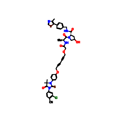 Cc1ncsc1-c1ccc(CNC(=O)[C@@H]2C[C@@H](O)CN2C(=O)[C@@H](NC(=O)COCC#CC#CCOc2ccc(N3C(=S)N(c4ccc(C#N)c(Cl)c4)C(=O)C3(C)C)cc2)C(C)(C)C)cc1